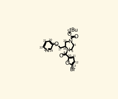 CC(C)(C)OC(=O)N1CCN(C(=O)c2ccc(Br)o2)C(COc2cccnc2)C1